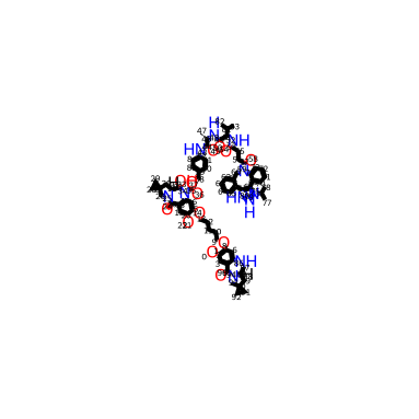 COc1cc2c(cc1OCCCCCOc1cc3c(cc1OC)C(=O)N1CC4(CC4)C[C@H]1C(O)N3C(=O)OCc1ccc(NC(=O)[C@H](C)NC(=O)[C@@H](NC(=O)CCC(=O)N3Cc4ccccc4C4=C(c5ccccc53)N(C(C)C)NN4)C(C)C)cc1)NC[C@@H]1CC3(CC3)CN1C2=O